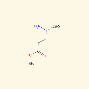 CC(C)(C)OC(=O)CC[C@H](N)C=O